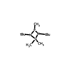 CP1N(C(C)(C)C)[Si](C)(C)N1C(C)(C)C